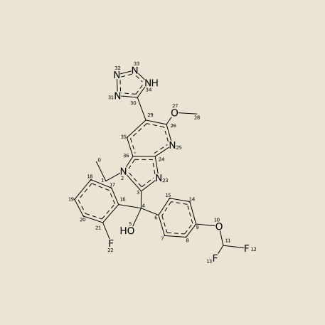 CCn1c(C(O)(c2ccc(OC(F)F)cc2)c2ccccc2F)nc2nc(OC)c(-c3nnn[nH]3)cc21